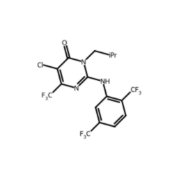 CC(C)Cn1c(Nc2cc(C(F)(F)F)ccc2C(F)(F)F)nc(C(F)(F)F)c(Cl)c1=O